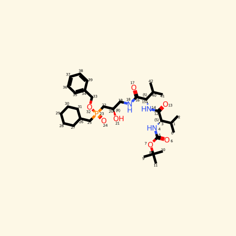 CC(C)[C@H](NC(=O)OC(C)(C)C)C(=O)N[C@H](C(=O)NC[C@@H](O)CP(=O)(CC1CCCCC1)OCc1ccccc1)C(C)C